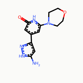 Nc1cc(-c2cc(N3CCOCC3)[nH]c(=O)c2)n[nH]1